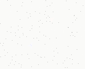 c1ccc(-n2c3ccccc3c3ccc4ccc(-c5cccc(-c6ccc7c(c6)-c6cccc8cccc(c68)O7)c5)cc4c32)cc1